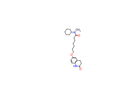 CN(C(=O)CCCCCCOc1ccc2c(c1)CCC(=O)N2)C1CCCCC1